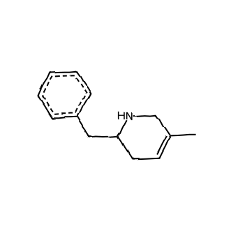 CC1=CCC(Cc2ccccc2)NC1